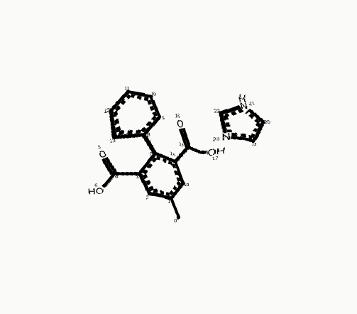 Cc1cc(C(=O)O)c(-c2ccccc2)c(C(=O)O)c1.c1c[nH]cn1